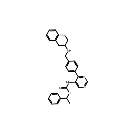 CC(OC(=O)Nc1cncnc1-c1ccc(CNC(CC(=O)O)Cc2ccccc2)cc1)c1ccccc1